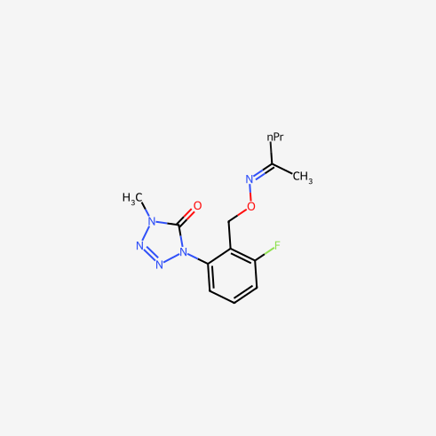 CCCC(C)=NOCc1c(F)cccc1-n1nnn(C)c1=O